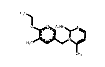 CC(=O)NC1N=CC=C(C)N1Cc1cnc(OCC(F)(F)F)c(C)c1